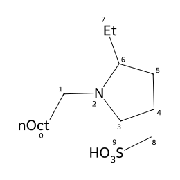 CCCCCCCCCN1CCCC1CC.CS(=O)(=O)O